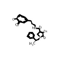 C[C@@H](CN1CC(C(=O)NCCCc2ccc(Cl)c(Cl)c2)=C(O)C1=O)c1ccccc1